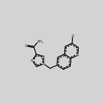 NC(=O)c1ncn(Cc2ccc3ncc(Cl)cc3c2)n1